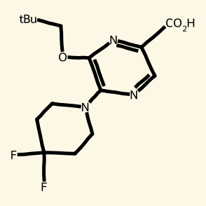 CC(C)(C)COc1nc(C(=O)O)cnc1N1CCC(F)(F)CC1